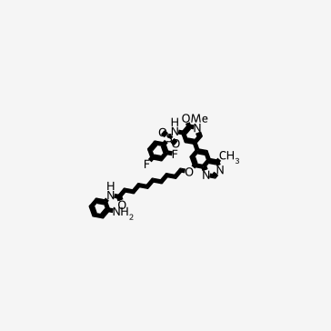 COc1ncc(-c2cc(OCCCCCCCCCC(=O)Nc3ccccc3N)c3ncnc(C)c3c2)cc1NS(=O)(=O)c1ccc(F)cc1F